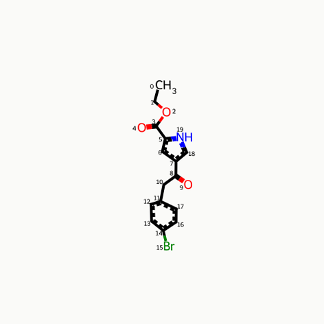 CCOC(=O)c1cc(C(=O)Cc2ccc(Br)cc2)c[nH]1